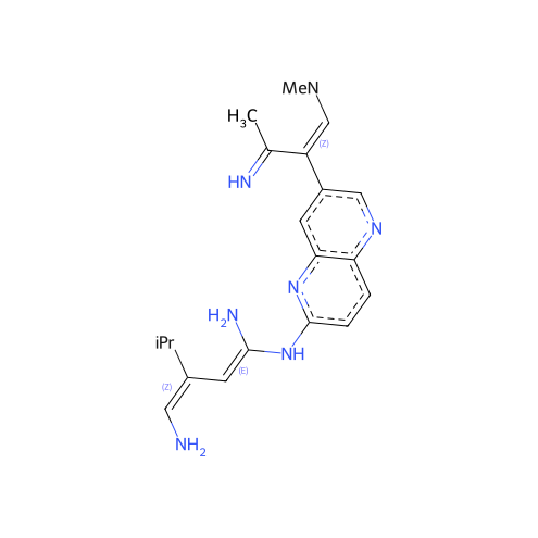 CN/C=C(\C(C)=N)c1cnc2ccc(N/C(N)=C/C(=C\N)C(C)C)nc2c1